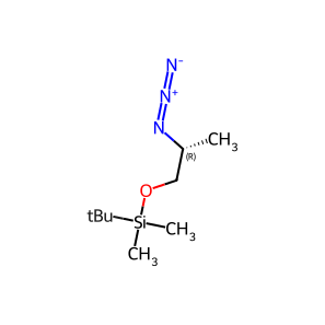 C[C@H](CO[Si](C)(C)C(C)(C)C)N=[N+]=[N-]